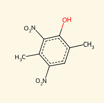 Cc1cc([N+](=O)[O-])c(C)c([N+](=O)[O-])c1O